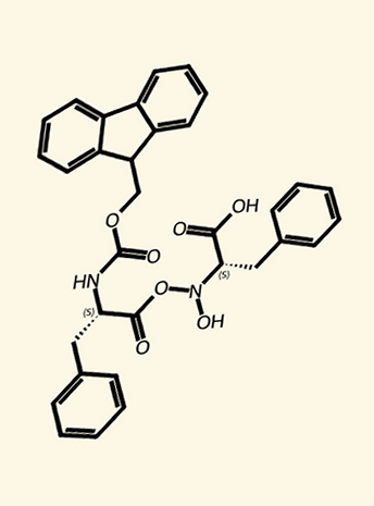 O=C(N[C@@H](Cc1ccccc1)C(=O)ON(O)[C@@H](Cc1ccccc1)C(=O)O)OCC1c2ccccc2-c2ccccc21